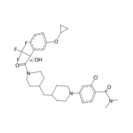 CN(C)C(=O)c1ccc(N2CCC(CC3CCN(C(=O)[C@](O)(c4cccc(OC5CC5)c4)C(F)(F)F)CC3)CC2)cc1Cl